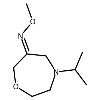 CO/N=C1/COCCN(C(C)C)C1